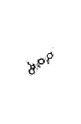 CN(c1ccc(C(F)(F)F)cc1)c1cccc(Cn2cc(CC(=O)O)c3ccccc32)c1